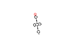 COc1ccc(C#Cc2c3ccccc3c(C#Cc3ccc(C)cc3)c3ccccc23)cc1